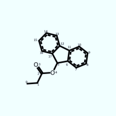 CCC(=O)OC1c2ccccc2-c2ccccc21